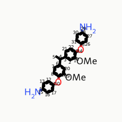 COc1cc(C(C)c2ccc(Oc3ccc(N)cc3)c(OC)c2)ccc1Oc1ccc(N)cc1